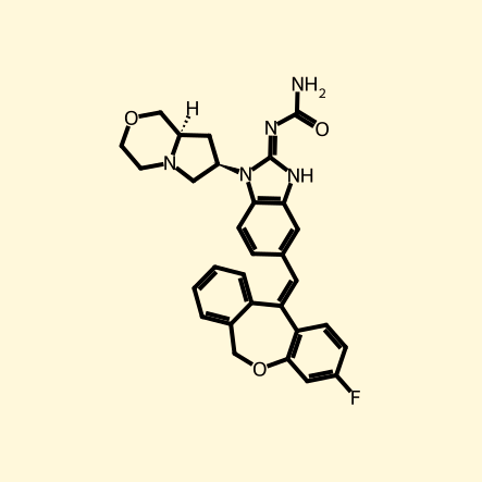 NC(=O)/N=c1\[nH]c2cc(/C=C3\c4ccccc4COc4cc(F)ccc43)ccc2n1[C@@H]1C[C@@H]2COCCN2C1